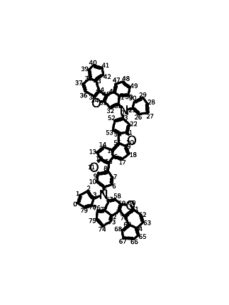 c1ccc(N(c2ccc3c(c2)oc2ccc4c(ccc5oc6cc(N(c7ccccc7)c7cc8oc9ccc%10ccccc%10c9c8c8ccccc78)ccc6c54)c23)c2cc3oc4ccc5ccccc5c4c3c3ccccc23)cc1